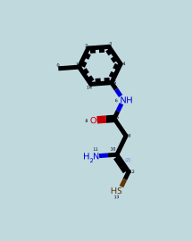 Cc1cccc(NC(=O)C/C(N)=C/S)c1